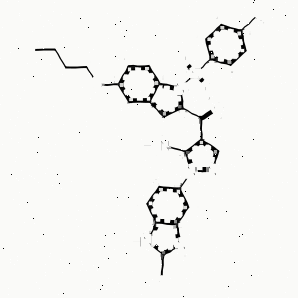 CCCCOc1ccc2c(c1)cc(C(=O)c1cnn(-c3ccc4[nH]c(C)nc4c3)c1N)n2S(=O)(=O)c1ccc(C)cc1